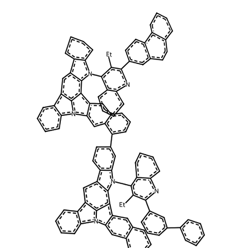 CCc1c(-c2cccc(-c3ccccc3)c2)nc2ccccc2c1-n1c2cc(-c3cccc4cc5c6c7c(cc8c9ccccc9n(c5cc34)c86)c3ccccc3n7-c3c(CC)c(-c4ccc5c(ccc6ccccc65)c4)nc4ccccc34)ccc2c2cc3c4ccccc4n4c5cc6ccccc6cc5c(c21)c34